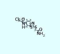 NC(=O)CSc1nc2ccc(NC(=O)CCl)cc2s1